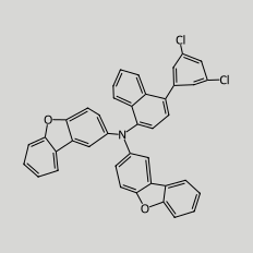 Clc1cc(Cl)cc(-c2ccc(N(c3ccc4oc5ccccc5c4c3)c3ccc4oc5ccccc5c4c3)c3ccccc23)c1